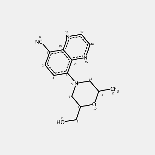 N#Cc1ccc(N2CC(CO)OC(C(F)(F)F)C2)c2nccnc12